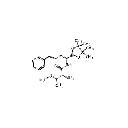 COC(C)C(N)C(=O)NC(CCCc1ccccc1)B1OC(C)(C)C(C)(C)O1